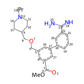 COC(=O)c1cc(COCC2CCN(C(C)C)CC2)cc(-c2cccc(C(=N)N)c2)c1